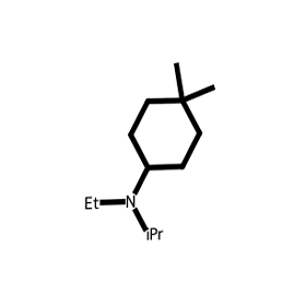 CCN(C(C)C)C1CCC(C)(C)CC1